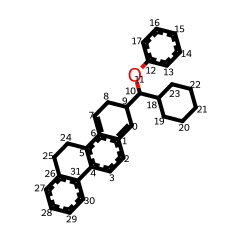 C1=c2ccc3c(c2=CCC1C(Oc1ccccc1)C1CCCCC1)CCc1ccccc1-3